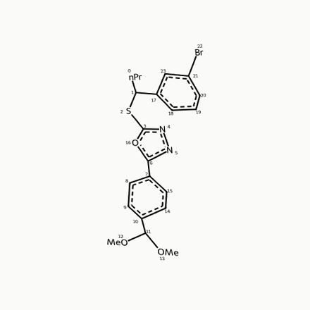 CCCC(Sc1nnc(-c2ccc(C(OC)OC)cc2)o1)c1cccc(Br)c1